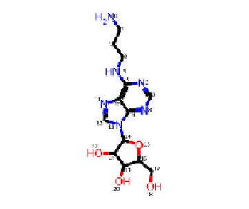 NCCCNc1ncnc2c1ncn2C1OC(CO)C(O)C1O